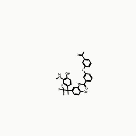 CNc1cc(C(C)(c2ccc(O)c(NC(=O)c3cccc(Oc4cccc(C(C)=O)c4)c3)c2)C(F)(F)F)ccc1O